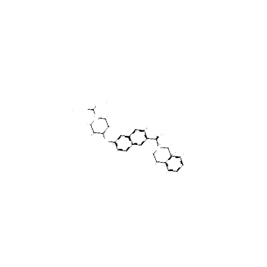 CC(C)N1CCC(Oc2ccc3cc(C(=O)N4CCc5ccccc5C4)ccc3c2)CC1